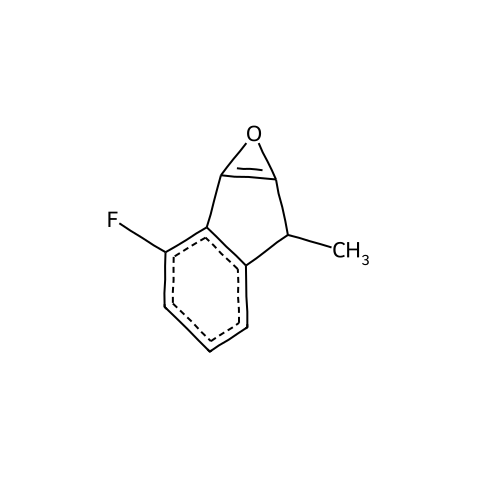 CC1C2=C(O2)c2c(F)cccc21